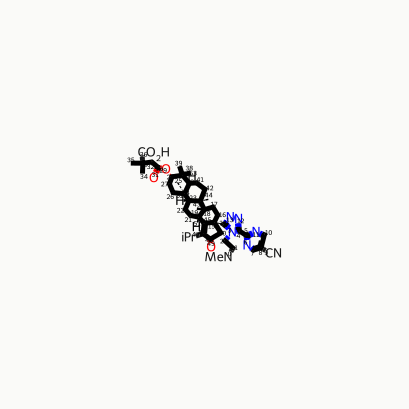 CNCCn1c(-c2ncc(C#N)cn2)nnc1[C@@]12CC[C@]3(C)[C@H](CC[C@@H]4[C@@]5(C)CC[C@H](OC(=O)CC(C)(C)C(=O)O)C(C)(C)[C@@H]5CC[C@]43C)C1=C(C(C)C)C(=O)C2